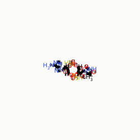 CO[C@@H]1[C@@H]2OP(=O)(S)OC[C@H]3O[C@@H](n4cnc5c(N)ncnc54)C[C@@H]3OP(=O)(S)OC[C@H]2O[C@H]1n1ccc(=O)[nH]c1=O